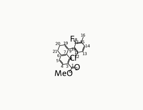 COC(=O)c1ccc2c(c1)C(c1c(Cl)ccc(C)c1F)=CCC2